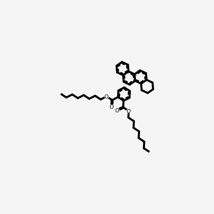 CCCCCCCCOC(=O)c1ccccc1C(=O)OCCCCCCCC.c1ccc2c(c1)ccc1c3c(ccc12)CCCC3